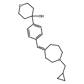 OC1(c2ccc(C=C3CCCN(CC4CC4)CC3)cc2)CCOCC1